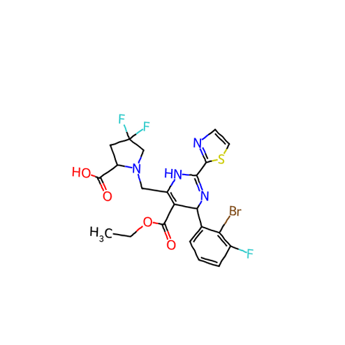 CCOC(=O)C1=C(CN2CC(F)(F)CC2C(=O)O)NC(c2nccs2)=NC1c1cccc(F)c1Br